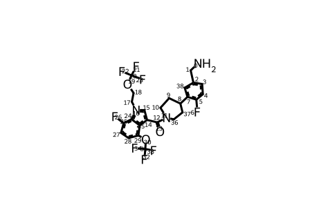 NCc1ccc(F)c(C2CCN(C(=O)c3cn(CCOC(F)(F)F)c4c(F)ccc(OC(F)(F)F)c34)CC2)c1